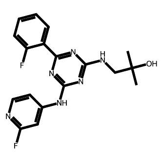 CC(C)(O)CNc1nc(Nc2ccnc(F)c2)nc(-c2ccccc2F)n1